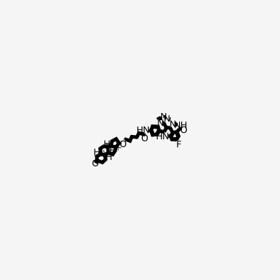 Cn1ncnc1C1c2n[nH]c(=O)c3cc(F)cc(c23)NC1c1ccc(NC(=O)CCCCCO[C@H]2CC[C@H]3[C@@H]4CC[C@H]5CC(=O)CC[C@]5(C)[C@H]4CC[C@]23C)cc1